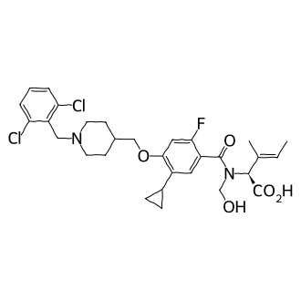 C/C=C(\C)[C@@H](C(=O)O)N(CO)C(=O)c1cc(C2CC2)c(OCC2CCN(Cc3c(Cl)cccc3Cl)CC2)cc1F